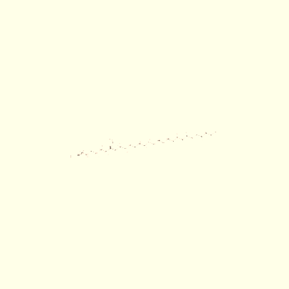 CCCCCCCCCCCCCCCCCCCCCCC(=O)CCCCCCCl